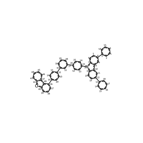 c1ccc(-c2ccc3c(c2)c2cc(-c4ccccc4)ccc2n3-c2ccc(-c3cccc(-c4ccc(-c5cccc6oc7ccccc7c56)cc4)c3)cc2)cc1